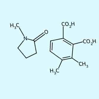 CN1CCCC1=O.Cc1ccc(C(=O)O)c(C(=O)O)c1C